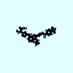 COC(C(C)O)N1CCC(Nc2cccc3c2cc(C#CCNc2ccc(S(C)(=O)=O)cc2)n3CC(F)(F)F)C1